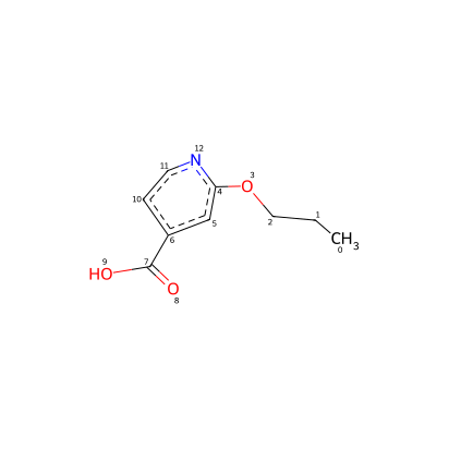 CCCOc1cc(C(=O)O)ccn1